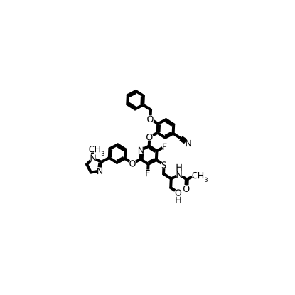 CC(=O)NC(CO)CSc1c(F)c(Oc2cccc(C3=NCCN3C)c2)nc(Oc2cc(C#N)ccc2OCc2ccccc2)c1F